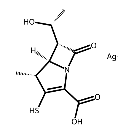 C[C@@H](O)[C@@H]1C(=O)N2C(C(=O)O)=C(S)[C@H](C)[C@@H]12.[Ag]